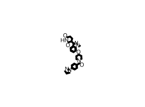 Cn1nc(C2CCC(=O)NC2=O)c2cccc(OC3CCN(C(=O)c4ccc(-n5cccn5)cc4)CC3)c21